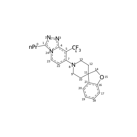 CCCc1nnc2c(C(F)(F)F)c(N3CCC4(CC3)COc3ccccc34)ccn12